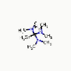 CN(C)[C]([GeH3])(N(C)C)N(C)C